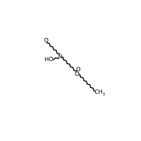 CCCCCCCCCCCOC(=O)CCCCCCCCN(CCCO)CCCCCCCC=O